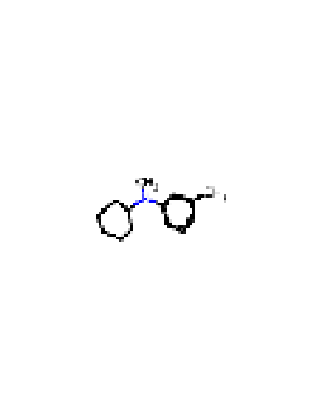 Cc1cccc(N(C)C2CCCCC2)c1